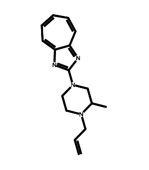 C=CCN1CCN(c2nc3cccccc-3n2)CC1C